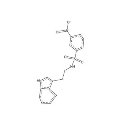 O=[N+]([O-])c1cccc(S(=O)(=O)NCCc2c[nH]c3ccccc23)c1